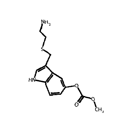 COC(=O)Oc1ccc2[nH]cc(CSCCN)c2c1